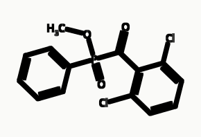 COP(=O)(C(=O)c1c(Cl)cccc1Cl)c1ccccc1